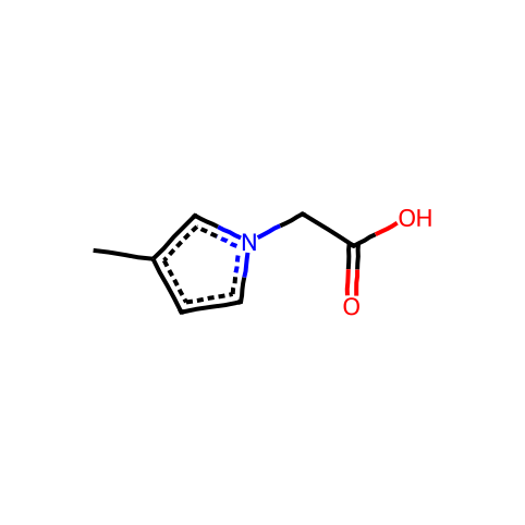 Cc1ccn(CC(=O)O)c1